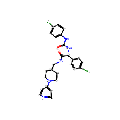 O=C(Nc1ccc(Cl)cc1)N[C@@H](C(=O)NCC1CCN(c2ccncc2)CC1)c1ccc(F)cc1